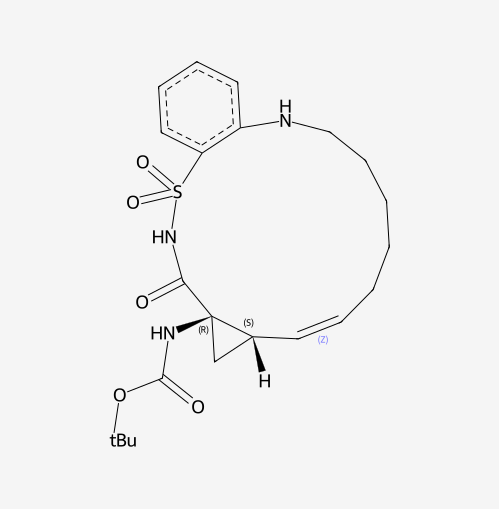 CC(C)(C)OC(=O)N[C@]12C[C@H]1/C=C\CCCCCNc1ccccc1S(=O)(=O)NC2=O